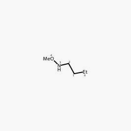 CCCCNOC